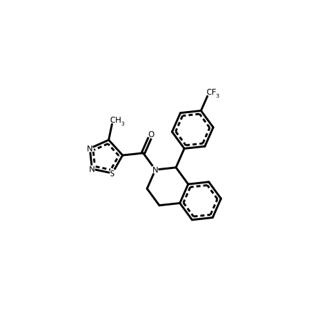 Cc1nnsc1C(=O)N1CCc2ccccc2C1c1ccc(C(F)(F)F)cc1